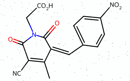 CC1=C(C#N)C(=O)N(CC(=O)O)C(=O)/C1=C\c1ccc([N+](=O)[O-])cc1